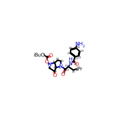 CC(C)COC(=O)ON1CC(=O)C2C1CCN2C(=O)C(CC(C)C)NC(=O)c1ccc(N)cc1